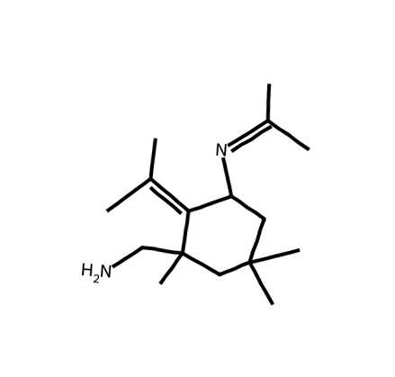 CC(C)=NC1CC(C)(C)CC(C)(CN)C1=C(C)C